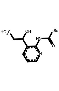 CC(C)(C)C(=O)Nc1ncccc1C(O)CC(=O)O